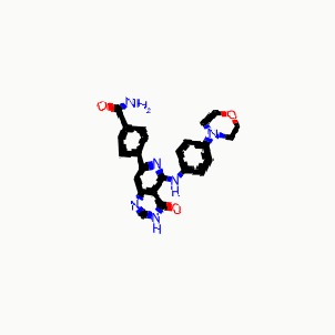 NC(=O)c1ccc(-c2cc3nc[nH]c(=O)c3c(Nc3ccc(N4CCOCC4)cc3)n2)cc1